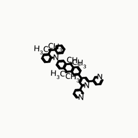 CC1(C)c2ccccc2N(c2ccc3c(c2)C(C)(C)c2ccc(-c4cc(-c5cccnc5)nc(-c5cccnc5)c4)cc2C3(C)C)c2ccccc21